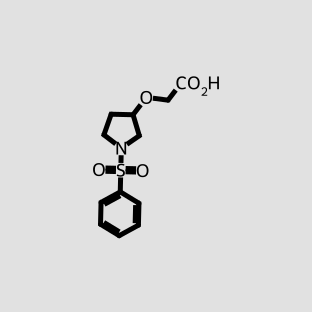 O=C(O)COC1CCN(S(=O)(=O)c2ccccc2)C1